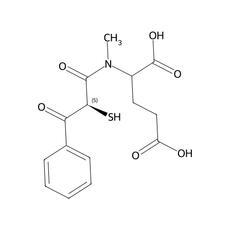 CN(C(=O)[C@@H](S)C(=O)c1ccccc1)C(CCC(=O)O)C(=O)O